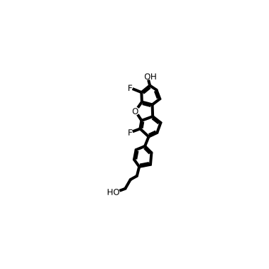 OCCCc1ccc(-c2ccc3c(oc4c(F)c(O)ccc43)c2F)cc1